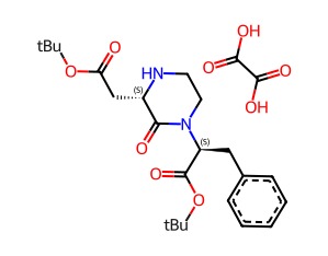 CC(C)(C)OC(=O)C[C@@H]1NCCN([C@@H](Cc2ccccc2)C(=O)OC(C)(C)C)C1=O.O=C(O)C(=O)O